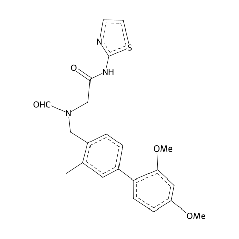 COc1ccc(-c2ccc(CN(C=O)CC(=O)Nc3nccs3)c(C)c2)c(OC)c1